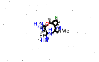 CC/C(N=N)=C1/NC/C(=C/NC)C(=N)c2ccc(F)cc2C(C)Oc2cc1cnc2N